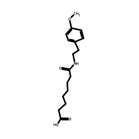 COc1ccc(CCNC(=O)CCCCCCC(=O)O)cc1